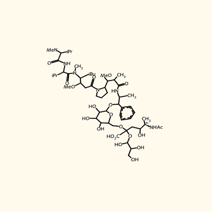 CCC(C)C(C(CC(=O)N1CCCC1C(OC)C(C)C(=O)NC(C)C(OC1OC(COC(CC(O)[C@@H](C)NC(C)=O)(OC(O)C(O)CO)C(=O)O)C(O)C(O)C1O)c1ccccc1)OC)N(C)C(=O)C(NC(=O)C(NC)C(C)C)C(C)C